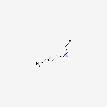 C/C=C/C/C=C\CF